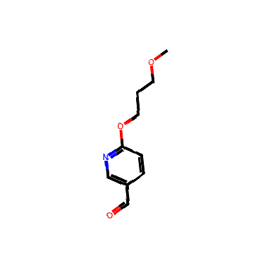 COCCCOc1ccc(C=O)cn1